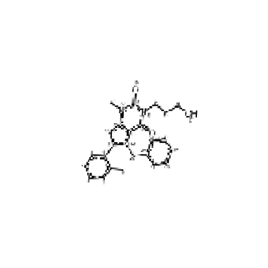 Cc1ccccc1-c1nc2c(c(=O)n(CCCO)c(=O)n2C)n1Cc1ccccc1